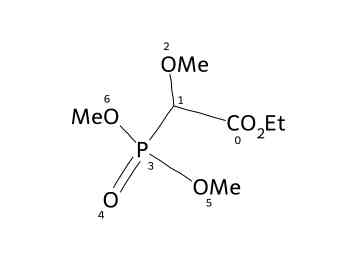 CCOC(=O)C(OC)P(=O)(OC)OC